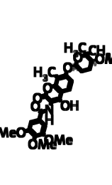 COc1cc(C(=O)Nc2c(O)c3ccc(O[C@H]4CC[C@@H](OC)C(C)(C)O4)c(C)c3oc2=O)cc(OC)c1OC